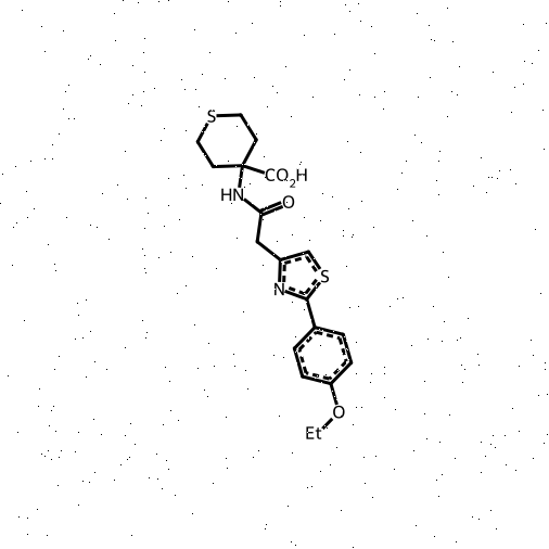 CCOc1ccc(-c2nc(CC(=O)NC3(C(=O)O)CCSCC3)cs2)cc1